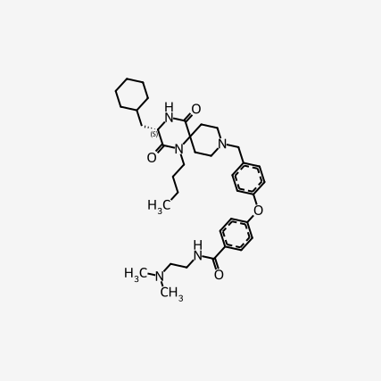 CCCCN1C(=O)[C@H](CC2CCCCC2)NC(=O)C12CCN(Cc1ccc(Oc3ccc(C(=O)NCCN(C)C)cc3)cc1)CC2